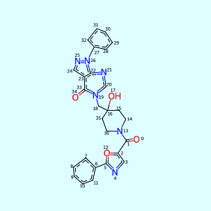 O=C(c1cnc(-c2ccccc2)o1)N1CCC(O)(Cn2cnc3c(cnn3-c3ccccc3)c2=O)CC1